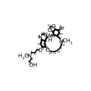 CN(CCO)CCCOc1cc2ncnc3c2cc1OCCCCCN(C)Cc1cc(Br)c2c(c1N3)OCO2